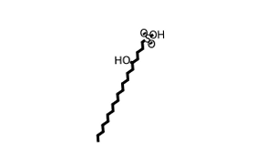 CCCCCCCCCCCCCCCC(O)CCCCS(=O)(=O)O